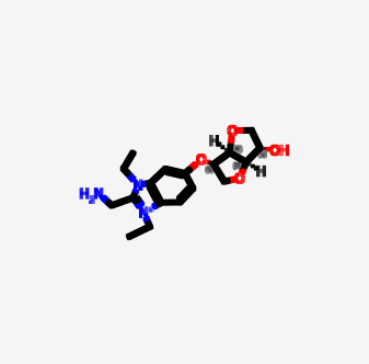 CCn1c(CN)[n+](CC)c2ccc(O[C@H]3CO[C@H]4[C@@H]3OC[C@@H]4O)cc21